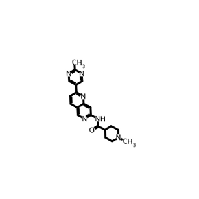 Cc1ncc(-c2ccc3cnc(NC(=O)C4CCN(C)CC4)cc3n2)cn1